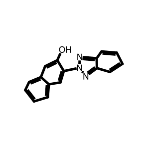 Oc1cc2ccccc2cc1-n1nc2ccccc2n1